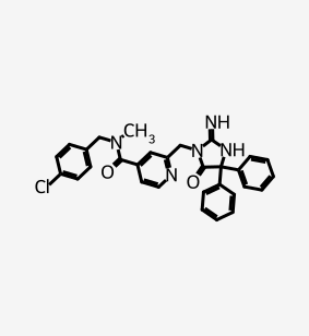 CN(Cc1ccc(Cl)cc1)C(=O)c1ccnc(CN2C(=N)NC(c3ccccc3)(c3ccccc3)C2=O)c1